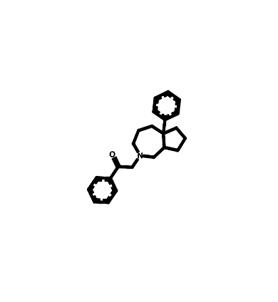 O=C(CN1CCCC2(c3ccccc3)CCCC2C1)c1ccccc1